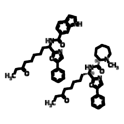 CCC(=O)CCCCCC(NC(=O)c1ccc2cc[nH]c2c1)c1ncc(-c2ccccc2)o1.CCC(=O)CCCCC[C@H](NC(=O)[C@@H]1CCCCCN1C)c1ncc(-c2ccccc2)o1